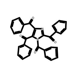 O=C(c1ccccc1)c1nc(C(=O)c2ccccc2)n(C(=O)c2ccccc2)c1C(=O)c1ccccc1